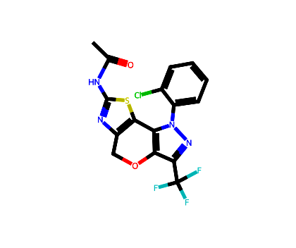 CC(=O)Nc1nc2c(s1)-c1c(c(C(F)(F)F)nn1-c1ccccc1Cl)OC2